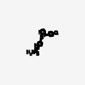 COc1ccc(Cc2cccnc2[N+]#Cc2ccc(CNC(N)=S)cc2)cc1